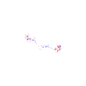 O=C(CCCCCNC(=O)CCN1C(=O)C=CC1=O)NCCCCCC(=O)ON1C(=O)CCC1=O